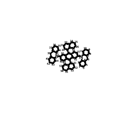 c1ccc2c(c1)Cc1ccccc1N2c1ccc2c(-c3cccc4ccccc34)c3cc(N4c5ccccc5Cc5ccccc54)ccc3c(-c3cccc4ccccc34)c2c1